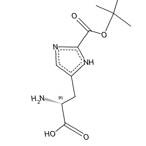 CC(C)(C)OC(=O)c1ncc(C[C@@H](N)C(=O)O)[nH]1